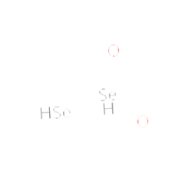 O=[SeH](=O)[SeH]